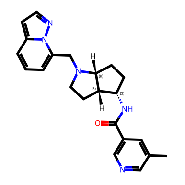 Cc1cncc(C(=O)N[C@H]2CC[C@@H]3[C@H]2CCN3Cc2cccc3ccnn23)c1